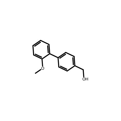 COc1ccccc1-c1ccc(CO)cc1